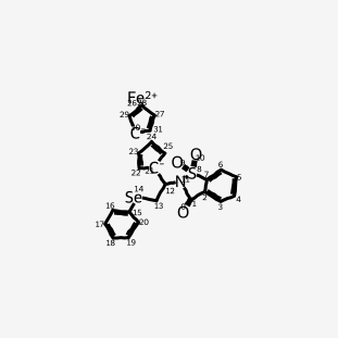 O=C1c2ccccc2S(=O)(=O)N1C(C[Se]c1ccccc1)[c-]1cccc1.[Fe+2].c1cc[cH-]c1